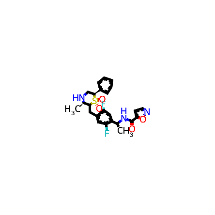 CC(NC(=O)c1ccno1)c1cc(F)c(CC2[C@H](C)NC[C@@H](c3ccccc3)S2(=O)=O)cc1F